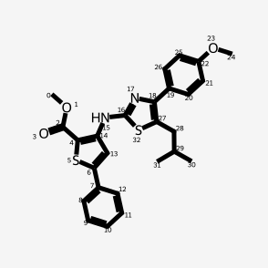 COC(=O)c1sc(-c2ccccc2)cc1Nc1nc(-c2ccc(OC)cc2)c(CC(C)C)s1